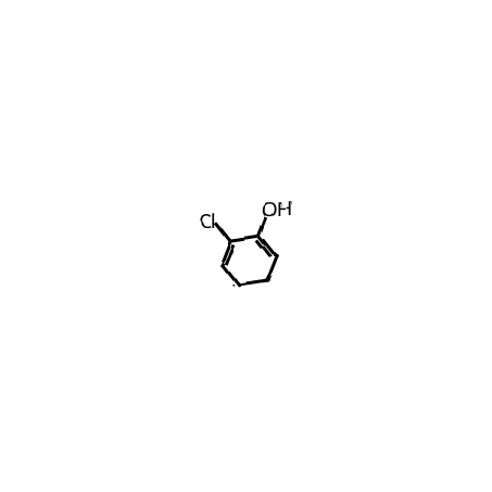 OC1=CC[CH]C=C1Cl